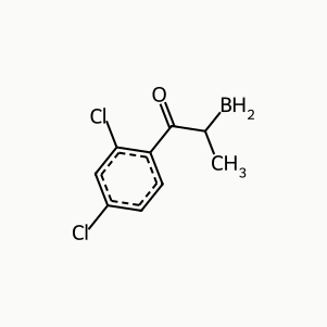 BC(C)C(=O)c1ccc(Cl)cc1Cl